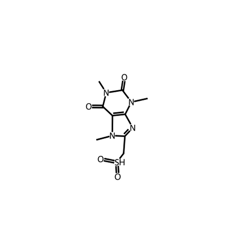 Cn1c(=O)c2c(nc(C[SH](=O)=O)n2C)n(C)c1=O